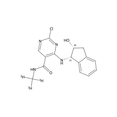 [2H]C([2H])([2H])NC(=O)c1cnc(Cl)nc1N[C@H]1c2ccccc2C[C@H]1O